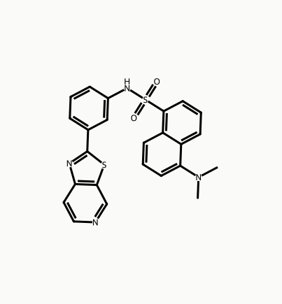 CN(C)c1cccc2c(S(=O)(=O)Nc3cccc(-c4nc5ccncc5s4)c3)cccc12